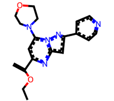 C=C(OCC)c1cc(N2CCOCC2)n2nc(-c3ccncc3)cc2n1